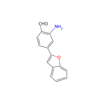 Nc1cc(-c2cc3ccccc3o2)ccc1C=O